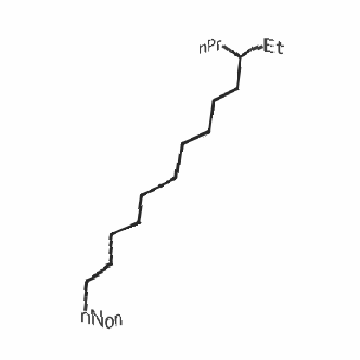 [CH2]CC(CCC)CCCCCCCCCCCCCCCCCCC